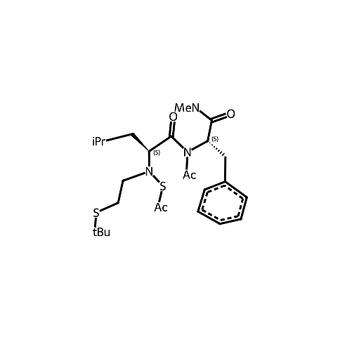 CNC(=O)[C@H](Cc1ccccc1)N(C(C)=O)C(=O)[C@H](CC(C)C)N(CCSC(C)(C)C)SC(C)=O